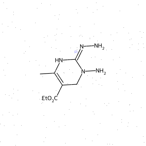 CCOC(=O)C1=C(C)N/C(=N/N)N(N)C1